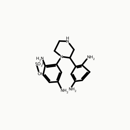 Nc1ccc(N)c(C2CNCCN2c2cc(N)ccc2N)c1.O=S(=O)(O)O